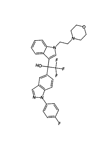 OC(c1ccc2c(cnn2-c2ccc(F)cc2)c1)(c1cn(CCN2CCOCC2)c2ccccc12)C(F)(F)F